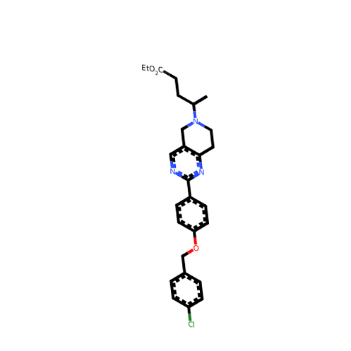 CCOC(=O)CCC(C)N1CCc2nc(-c3ccc(OCc4ccc(Cl)cc4)cc3)ncc2C1